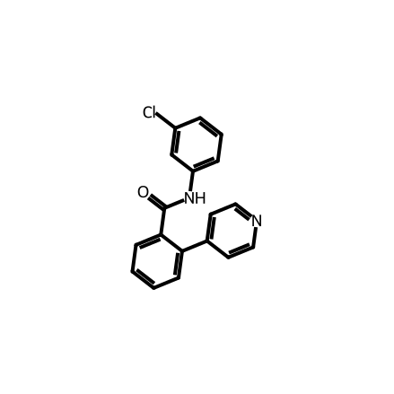 O=C(Nc1cccc(Cl)c1)c1ccccc1-c1ccncc1